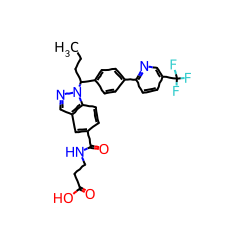 CCCC(c1ccc(-c2ccc(C(F)(F)F)cn2)cc1)n1ncc2cc(C(=O)NCCC(=O)O)ccc21